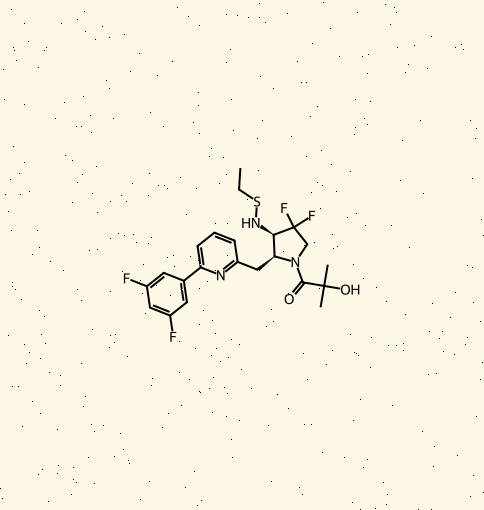 CCSN[C@@H]1[C@H](Cc2cccc(-c3cc(F)cc(F)c3)n2)N(C(=O)C(C)(C)O)CC1(F)F